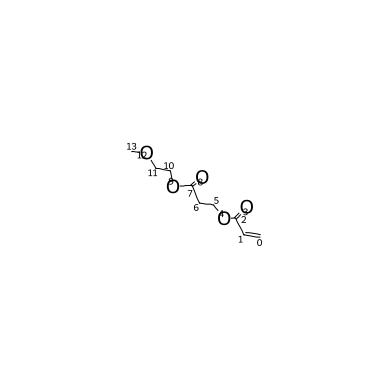 C=CC(=O)OCCC(=O)OCCOC